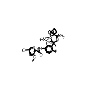 COc1cc(Cl)cnc1C(=O)Nc1ccc(F)c([C@@]2(C)N=C(N)C3(CCC3)S(O)(O)[C@@H]2F)c1